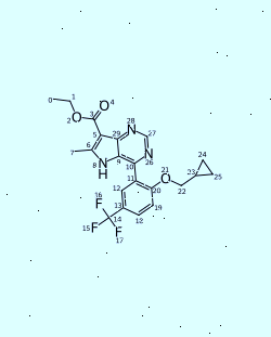 CCOC(=O)c1c(C)[nH]c2c(-c3cc(C(F)(F)F)ccc3OCC3CC3)ncnc12